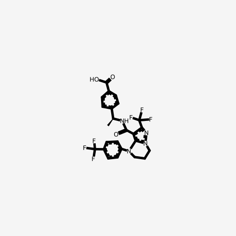 C[C@H](NC(=O)c1c(C(F)(F)F)nn2c1N(c1ccc(C(F)(F)F)cc1)CCC2)c1ccc(C(=O)O)cc1